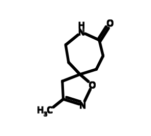 CC1=NOC2(CCNC(=O)CC2)C1